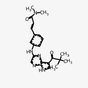 CN(C)C(=O)C=Cc1cccc(Nc2cnc3[nH]cc(C(=O)C(C)(C)C)c3n2)c1